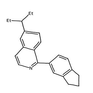 CCC(CC)c1ccc2c(-c3ccc4c(c3)CCC4)nccc2c1